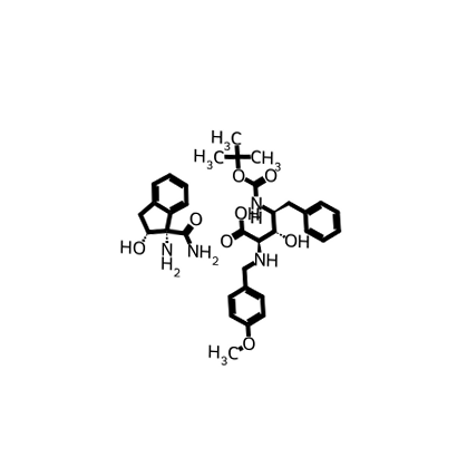 COc1ccc(CN[C@@H](C(=O)O)[C@@H](O)[C@H](Cc2ccccc2)NC(=O)OC(C)(C)C)cc1.NC(=O)[C@]1(N)c2ccccc2C[C@H]1O